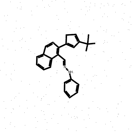 CC(C)(C)C1=CCC(c2ccc3ccccc3c2C=NNc2ccccc2)=C1